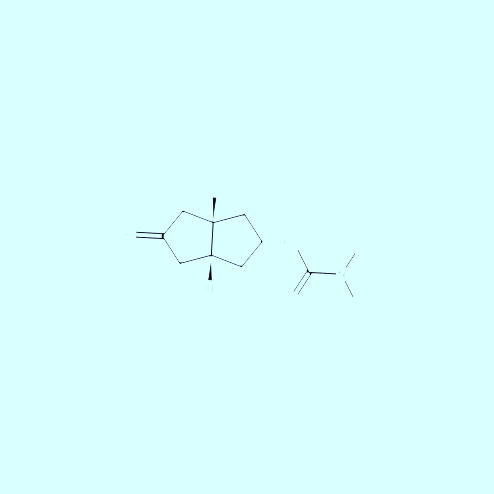 CCN(CC)C(=O)O[C@H]1C[C@H]2CC(=O)C[C@H]2C1